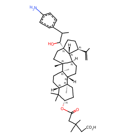 C=C(C)[C@@H]1CC[C@]2(C(O)C(C)c3ccc(N)cc3)CC[C@]3(C)[C@H](CC[C@@H]4[C@@]5(C)CC[C@H](OC(=O)CC(C)(C)CC(=O)O)C(C)(C)[C@@H]5CC[C@]43C)[C@@H]12